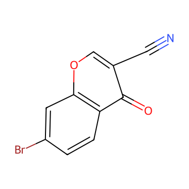 N#Cc1coc2cc(Br)ccc2c1=O